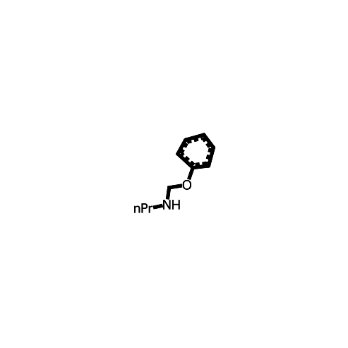 CCCNCOc1ccccc1